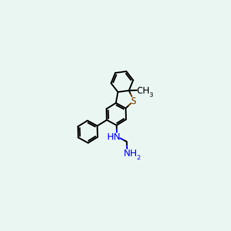 CC12C=CC=CC1c1cc(-c3ccccc3)c(NCN)cc1S2